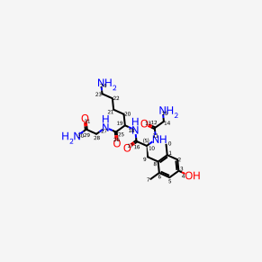 Cc1cc(O)cc(C)c1C[C@H](NC(=O)CN)C(=O)NC(CCCCN)C(=O)NCC(N)=O